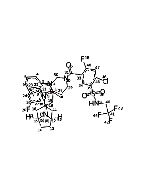 Cc1nc2ccccc2n1[C@H]1C[C@H]2CC[C@@H](C1)N2CCC1(c2cccc(F)c2)CCN(C(=O)c2cc(S(=O)(=O)NCC(F)(F)F)c(Cl)cc2F)CC1